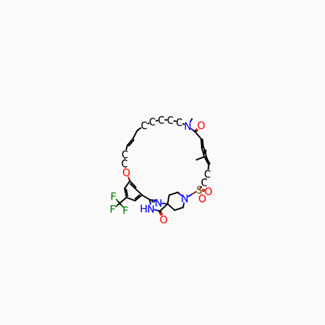 Cc1cc2ccc1CCS(=O)(=O)N1CCC3(CC1)N=C(NC3=O)c1cc(cc(C(F)(F)F)c1)OCC/C=C/CCCCCCN(C)C2=O